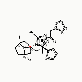 Cc1nnc(C(C)C)n1[C@@H]1C[C@H]2CC[C@@H](C1)N2CC[C@H](NC(=O)Cn1cnnn1)c1cccs1